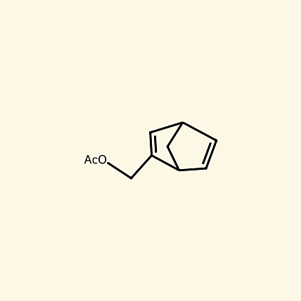 CC(=O)OCC1=CC2C=CC1C2